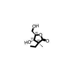 CC[C@]1(C)C(=O)O[C@H](CO)[C@H]1O